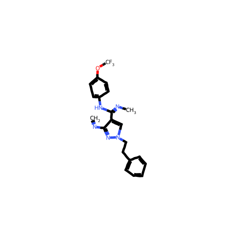 C=Nc1nn(CCc2ccccc2)cc1/C(=N\C)Nc1ccc(OC(F)(F)F)cc1